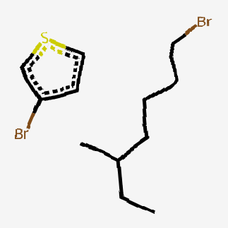 Brc1ccsc1.CCC(C)CCCCBr